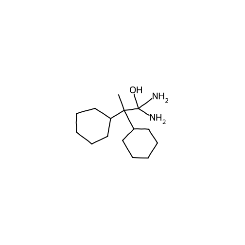 CC(C1CCCCC1)(C1CCCCC1)C(N)(N)O